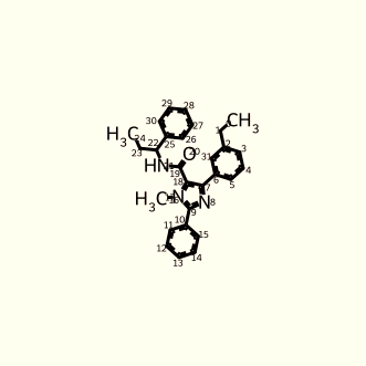 CCc1cccc(-c2nc(-c3ccccc3)n(C)c2C(=O)NC(CC)c2ccccc2)c1